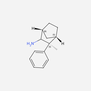 C[C@]1(c2ccccc2)C(N)[C@@H]2CC[C@H]1C2